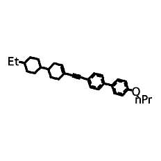 CCCOc1ccc(-c2ccc(C#CC3=CCC(C4CCC(CC)CC4)CC3)cc2)cc1